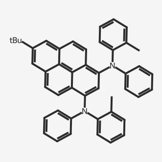 Cc1ccccc1N(c1ccccc1)c1cc(N(c2ccccc2)c2ccccc2C)c2ccc3cc(C(C)(C)C)cc4ccc1c2c43